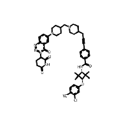 CC1(C)[C@H](NC(=O)c2ccc(C#CCC3CCN(CC4CCN(c5ccc6nnn(C7CCC(=O)NC7=O)c(=O)c6c5)CC4)CC3)cc2)C(C)(C)[C@H]1Oc1ccc(C#N)c(Cl)c1